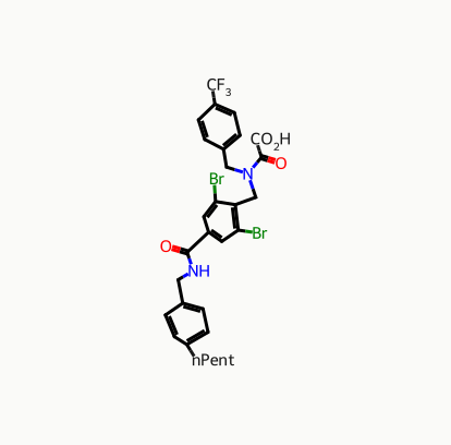 CCCCCc1ccc(CNC(=O)c2cc(Br)c(CN(Cc3ccc(C(F)(F)F)cc3)C(=O)C(=O)O)c(Br)c2)cc1